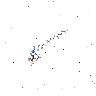 CCCCCCCCCCCCCCCCC(C)n1nnc2c(C(=O)OC)cccc21